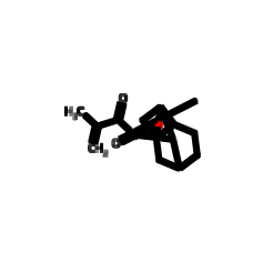 C=C(C)C(=O)OC1C2CCC3C4(C2)CC13OC4=O